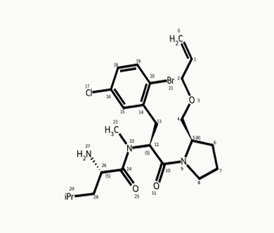 C=CCOC[C@H]1CCCN1C(=O)[C@H](Cc1cc(Cl)ccc1Br)N(C)C(=O)[C@@H](N)CC(C)C